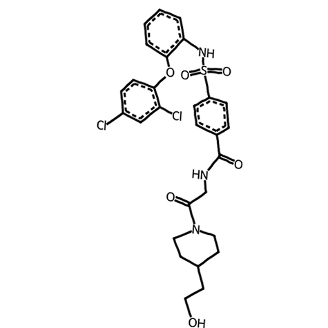 O=C(NCC(=O)N1CCC(CCO)CC1)c1ccc(S(=O)(=O)Nc2ccccc2Oc2ccc(Cl)cc2Cl)cc1